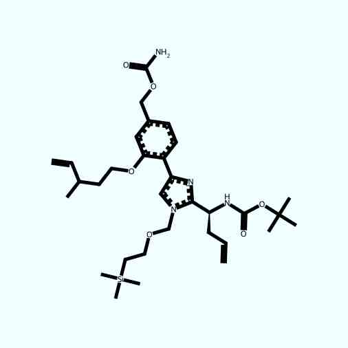 C=CC[C@H](NC(=O)OC(C)(C)C)c1nc(-c2ccc(COC(N)=O)cc2OCCC(C)C=C)cn1COCC[Si](C)(C)C